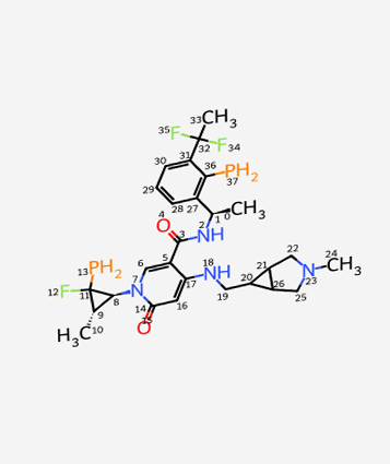 C[C@@H](NC(=O)c1cn([C@H]2[C@H](C)C2(F)P)c(=O)cc1NCC1C2CN(C)CC12)c1cccc(C(C)(F)F)c1P